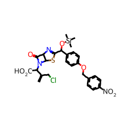 C=C(CCl)C(C(=O)O)N1C(=O)C2N=C(C(O[Si](C)(C)C)c3ccc(OCc4ccc([N+](=O)[O-])cc4)cc3)SC21